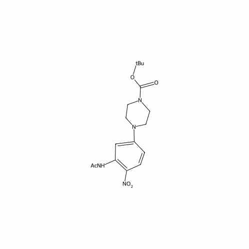 CC(=O)Nc1cc(N2CCN(C(=O)OC(C)(C)C)CC2)ccc1[N+](=O)[O-]